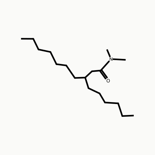 CCCCCCCC(CCCCCC)CC(=O)N(C)C